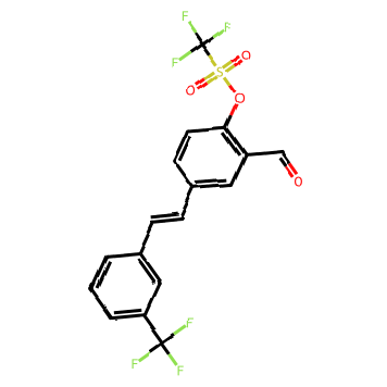 O=Cc1cc(/C=C/c2cccc(C(F)(F)F)c2)ccc1OS(=O)(=O)C(F)(F)F